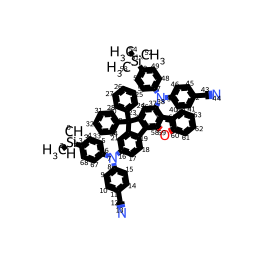 C[SiH](C)c1ccc(N(c2ccc(C#N)cc2)c2ccc3c(c2)C(c2ccccc2)(c2ccccc2)c2cc(N(c4ccc(C#N)cc4)c4ccc([Si](C)(C)C)cc4)c4c(oc5ccccc54)c2-3)cc1